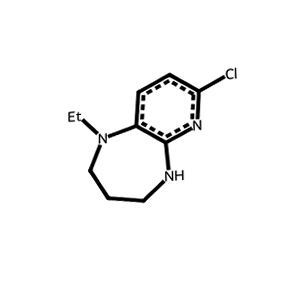 CCN1CCCNc2nc(Cl)ccc21